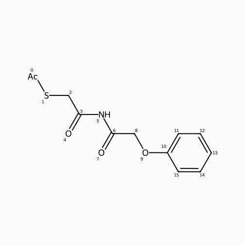 CC(=O)SCC(=O)NC(=O)COc1ccccc1